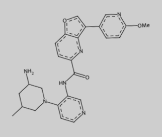 COc1ccc(-c2coc3ccc(C(=O)Nc4cnccc4N4CC(C)CC(N)C4)nc23)cn1